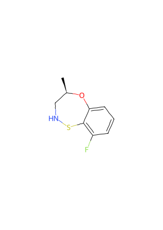 C[C@@H]1CNSc2c(F)cccc2O1